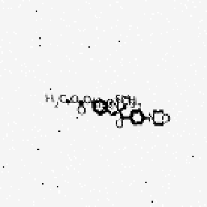 C=COC(=O)Oc1ccc(CC(CC)(C(=O)c2ccc(N3CCOCC3)cc2)N(C)C)cc1